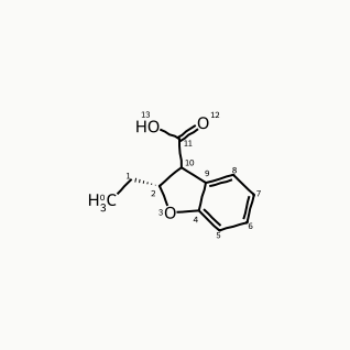 CC[C@H]1Oc2ccccc2C1C(=O)O